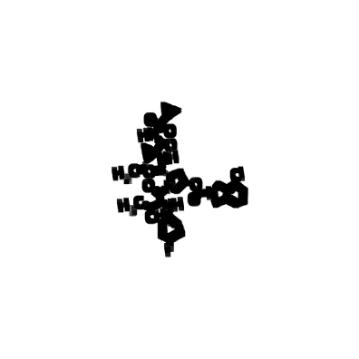 C=C[C@@H]1C[C@]1(NC(=O)[C@@H]1C[C@@H](OC(=O)N2Cc3cccc(Cl)c3C2)CN1C(=O)[C@@H](Nc1ccc(F)cc1)C(C)C)C(=O)NS(=O)(=O)C1CC1